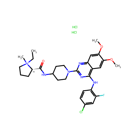 CC[N+]1(C)CCC[C@H]1C(=O)NC1CCN(c2nc(Nc3ccc(Cl)cc3F)c3cc(OC)c(OC)cc3n2)CC1.Cl.Cl